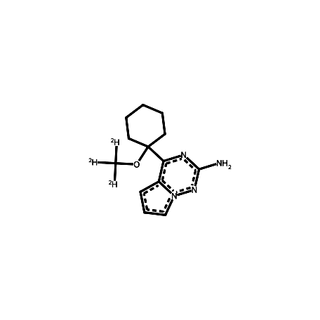 [2H]C([2H])([2H])OC1(c2nc(N)nn3cccc23)CCCCC1